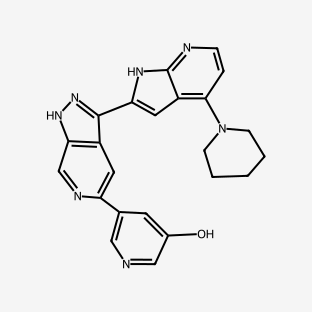 Oc1cncc(-c2cc3c(-c4cc5c(N6CCCCC6)ccnc5[nH]4)n[nH]c3cn2)c1